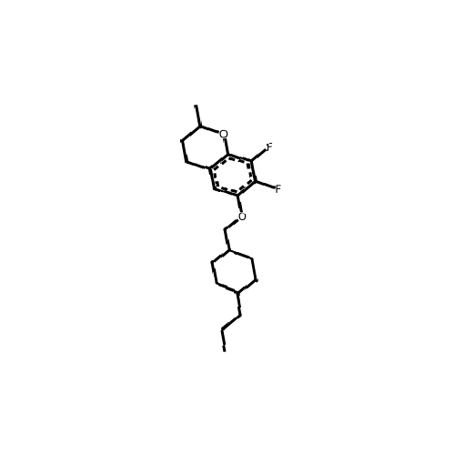 CCCC1CCC(COc2cc3c(c(F)c2F)OC(C)CC3)CC1